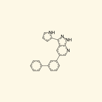 c1ccc(-c2cccc(-c3cnc4[nH]nc(-c5ccc[nH]5)c4c3)c2)cc1